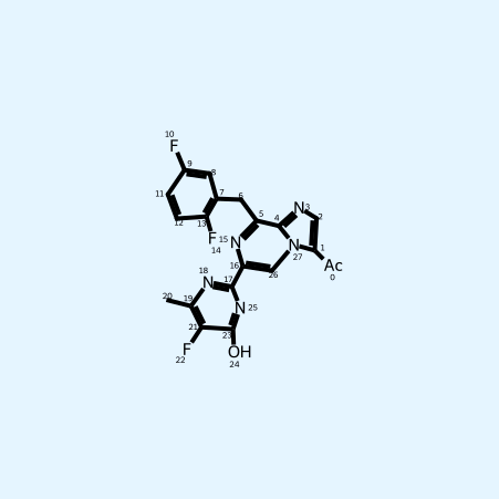 CC(=O)c1cnc2c(Cc3cc(F)ccc3F)nc(-c3nc(C)c(F)c(O)n3)cn12